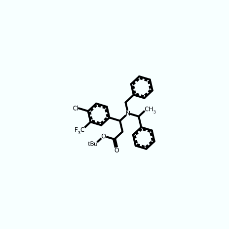 CC(c1ccccc1)N(Cc1ccccc1)C(CC(=O)OC(C)(C)C)c1ccc(Cl)c(C(F)(F)F)c1